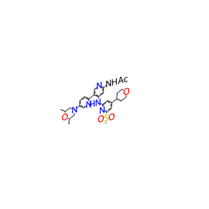 CC(=O)Nc1cc(Nc2cc(C3CCOCC3)cc(S(C)(=O)=O)n2)c(-c2ccc(N3CC(C)OC(C)C3)cn2)cn1